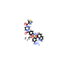 Nc1ccc(S(=O)(=O)Nc2ccc(C(=O)N3CCN(C(=O)c4cscn4)CC3)cc2OC(F)(F)F)c(-c2cccc3cccnc23)c1